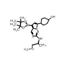 COCC(C)Nc1ncc2c(B3OC(C)(C)C(C)(C)O3)cc(C3CCC(O)CC3)n2n1